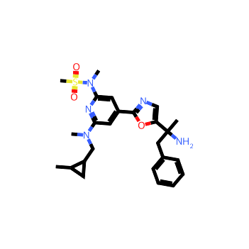 CC1CC1CN(C)c1cc(-c2ncc(C(C)(N)Cc3ccccc3)o2)cc(N(C)S(C)(=O)=O)n1